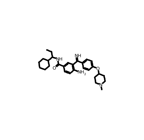 CCC(NC(=O)c1ccc(N)c(C(=N)c2ccc(OC3CCN(C)CC3)cc2)c1)C1CCCCC1